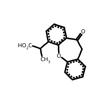 CC(C(=O)O)c1cccc2c1Oc1ccccc1CC2=O